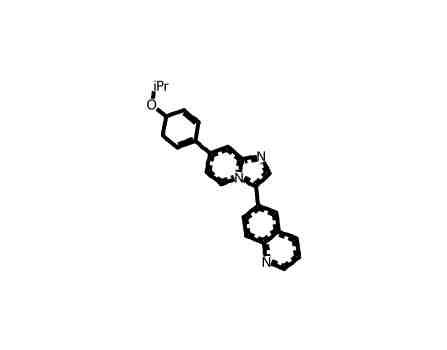 CC(C)OC1C=CC(c2ccn3c(-c4ccc5ncccc5c4)cnc3c2)=CC1